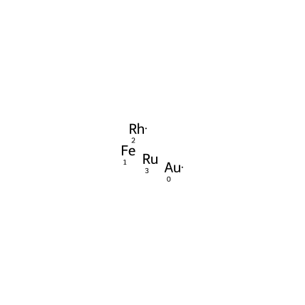 [Au].[Fe].[Rh].[Ru]